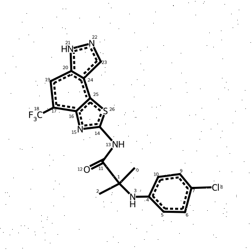 CC(C)(Nc1ccc(Cl)cc1)C(=O)Nc1nc2c(C(F)(F)F)cc3[nH]ncc3c2s1